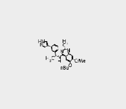 CCCCOc1cc2c(NC(C)c3cccc(-c4cn[nH]c4)c3)nc(C)nc2cc1OC